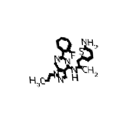 C=C(CC1=C=CC=C(N)S1)NC1=NC(C2=CCC=CC=C2F)=NCc2c1cnn2CCC